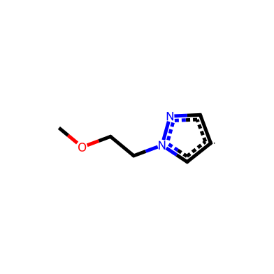 COCCn1c[c]cn1